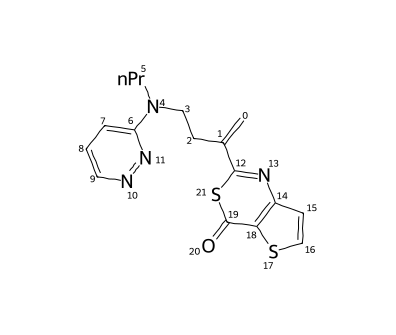 C=C(CCN(CCC)c1cccnn1)c1nc2ccsc2c(=O)s1